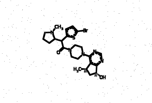 C[C@@H]1C[C@@H](O)c2ncnc(N3CCN(C(=O)C(c4ccc(Br)s4)C4CCCN4C)CC3)c21